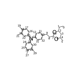 CCC1CC(C)OC(CCc2ccc(N(c3ccc(C)c(C)c3)c3ccc(C)c(C)c3)cc2)O1